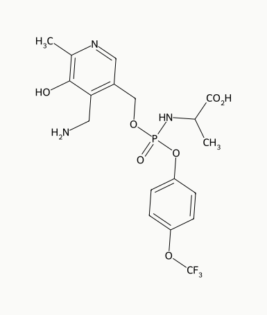 Cc1ncc(COP(=O)(NC(C)C(=O)O)Oc2ccc(OC(F)(F)F)cc2)c(CN)c1O